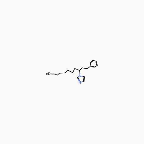 CCCCCCCCCCCCCCCCC(CCc1ccccc1)n1ccnc1